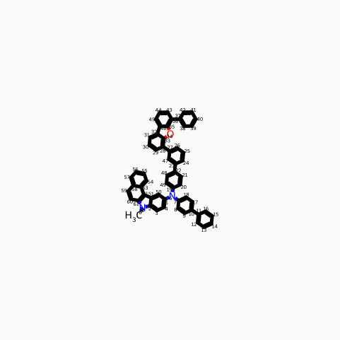 Cn1c2ccc(N(c3ccc(-c4ccccc4)cc3)c3ccc(-c4cccc(-c5cccc6c5oc5c(-c7ccccc7)cccc56)c4)cc3)cc2c2c3ccccc3ccc21